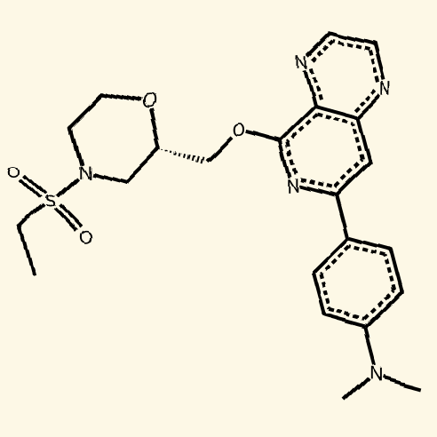 CCS(=O)(=O)N1CCO[C@H](COc2nc(-c3ccc(N(C)C)cc3)cc3nccnc23)C1